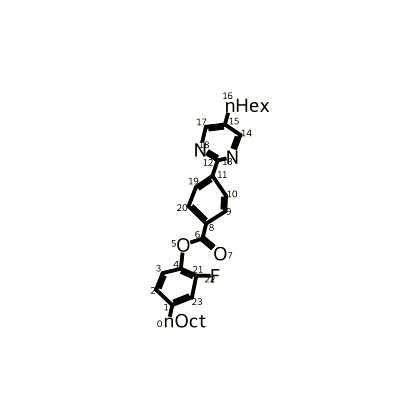 CCCCCCCCc1ccc(OC(=O)c2ccc(-c3ncc(CCCCCC)cn3)cc2)c(F)c1